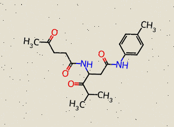 CC(=O)CCC(=O)NC(CC(=O)Nc1ccc(C)cc1)C(=O)C(C)C